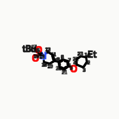 CC[C@H]1CC[C@H](Oc2ccc(C3=CCN(C(=O)OC(C)(C)C)CC3)cc2)CC1